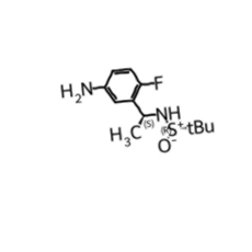 C[C@H](N[S@@+]([O-])C(C)(C)C)c1cc(N)ccc1F